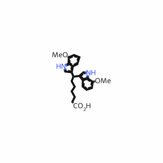 COc1cccc2c(C(CCCCCC(=O)O)c3c[nH]c4c(OC)cccc34)c[nH]c12